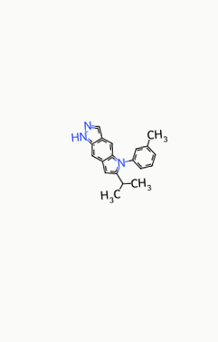 Cc1cccc(-n2c(C(C)C)cc3cc4[nH]ncc4cc32)c1